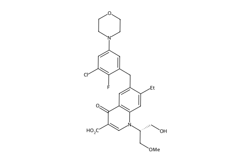 CCc1cc2c(cc1Cc1cc(N3CCOCC3)cc(Cl)c1F)c(=O)c(C(=O)O)cn2[C@H](CO)COC